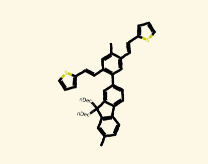 CCCCCCCCCCC1(CCCCCCCCCC)c2cc(C)ccc2-c2ccc(-c3cc(/C=C/c4cccs4)c(C)cc3/C=C/c3cccs3)cc21